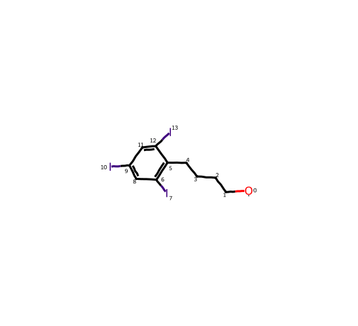 [O]CCCCc1c(I)cc(I)cc1I